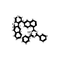 c1ccc(C2=NC(c3cccc4cc(-c5cncc6oc7cc8ccccc8cc7c56)ccc34)NC(c3ccccc3)=N2)cc1